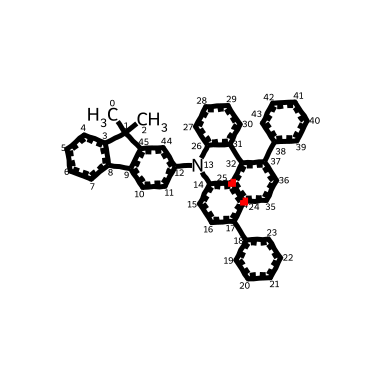 CC1(C)c2ccccc2-c2ccc(N(c3ccc(-c4ccccc4)cc3)c3ccccc3-c3ccccc3-c3ccccc3)cc21